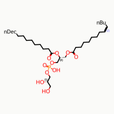 CCCC/C=C\CCCCCCCC(=O)OC[C@H](COP(=O)(O)OC[C@@H](O)CO)OC(=O)CCCCCCCCCCCCCCCCCC